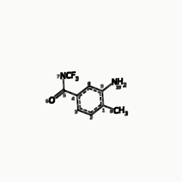 Cc1ccc(C(=O)NC(F)(F)F)cc1N